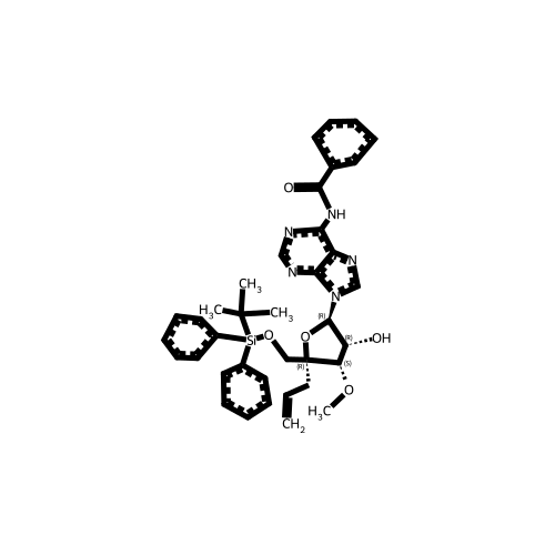 C=CC[C@]1(CO[Si](c2ccccc2)(c2ccccc2)C(C)(C)C)O[C@@H](n2cnc3c(NC(=O)c4ccccc4)ncnc32)[C@H](O)[C@@H]1OC